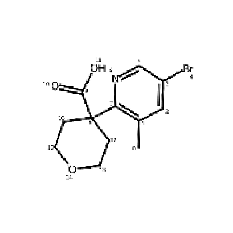 Cc1cc(Br)cnc1C1(C(=O)O)CCOCC1